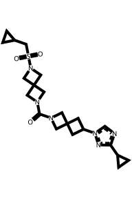 O=C(N1CC2(CC(n3cnc(C4CC4)n3)C2)C1)N1CC2(C1)CN(S(=O)(=O)CC1CC1)C2